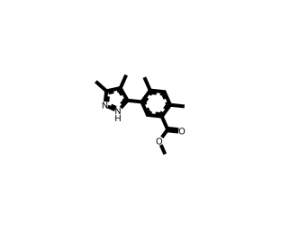 COC(=O)c1cc(-c2[nH]nc(C)c2C)c(C)cc1C